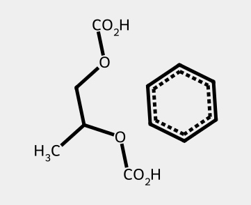 CC(COC(=O)O)OC(=O)O.c1ccccc1